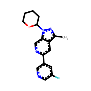 Cc1nn(C2CCCCO2)c2cnc(-c3cncc(F)c3)cc12